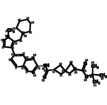 Cn1ncc(-c2ccc3cnc(NC(=O)C4CC5(C4)CN(C(=O)OC(C)(C)C)C5)nc3c2)c1CN1CCCCC1